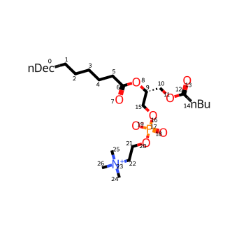 CCCCCCCCCCCCCCCC(=O)O[C@H](COC(=O)CCCC)COP(=O)([O-])OCC[N+](C)(C)C